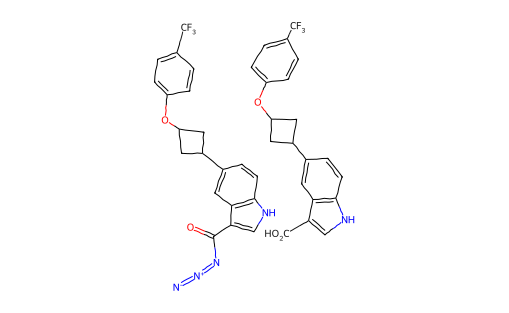 O=C(O)c1c[nH]c2ccc(C3CC(Oc4ccc(C(F)(F)F)cc4)C3)cc12.[N-]=[N+]=NC(=O)c1c[nH]c2ccc(C3CC(Oc4ccc(C(F)(F)F)cc4)C3)cc12